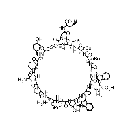 C#CCC(NC(=O)CNC(=O)[C@@H]1CSCC(=O)N[C@@H](Cc2ccc(O)cc2)C(=O)N2CCCC[C@H]2C(=O)N[C@@H](CC(N)=O)C(=O)N2CCC[C@H]2C(=O)N[C@@H](CN)C(=O)N[C@@H](CC(C)C)C(=O)N2C[C@H](O)C[C@H]2C(=O)N[C@@H](Cc2c[nH]c3ccccc23)C(=O)N[C@@H](CCN)C(=O)N[C@@H](Cc2cn(CC(=O)O)c3ccccc23)C(=O)N(C)[C@@H](CCCC)C(=O)N(C)[C@@H](CCCC)C(=O)N[C@@H](CC(C)C)C(=O)N1)C(=O)O